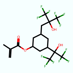 C=C(C)C(=O)OC1CC(CC(O)(C(F)(F)F)C(F)(F)F)CC(C(O)(C(F)(F)F)C(F)(F)F)C1